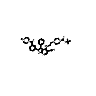 CN1CCN(C(=O)c2cccc(-c3oc4ncc(C#N)c(NCCN5CCN(C(=O)OC(C)(C)C)CC5)c4c3-c3ccccc3)c2)CC1